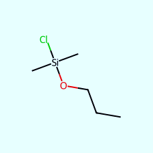 CCCO[Si](C)(C)Cl